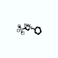 O=S(=O)(Cl)c1cn(-c2ccccc2)nn1